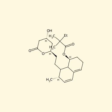 CCC(C)(C)C(=O)O[C@H]1CCC=C2C=C[C@H](C)C(CC[C@@H]3C[C@@H](O)CC(=O)O3)C21